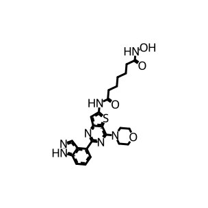 O=C(CCCCCC(=O)Nc1cc2nc(-c3cccc4[nH]ncc34)nc(N3CCOCC3)c2s1)NO